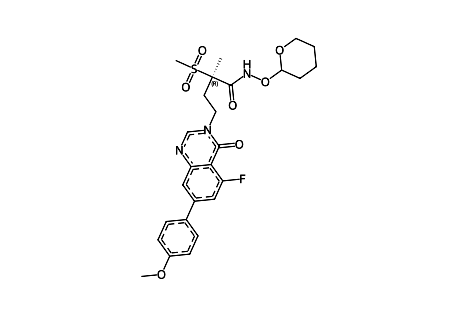 COc1ccc(-c2cc(F)c3c(=O)n(CC[C@](C)(C(=O)NOC4CCCCO4)S(C)(=O)=O)cnc3c2)cc1